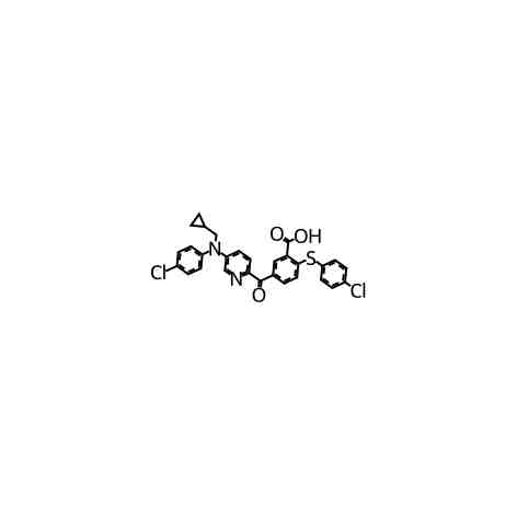 O=C(c1ccc(Sc2ccc(Cl)cc2)c(C(=O)O)c1)c1ccc(N(CC2CC2)c2ccc(Cl)cc2)cn1